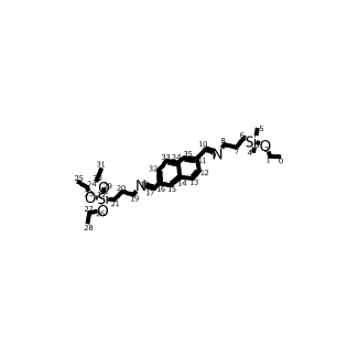 CCO[Si](C)(C)CCC/N=C/c1ccc2cc(/C=N/CCC[Si](OCC)(OCC)OCC)ccc2c1